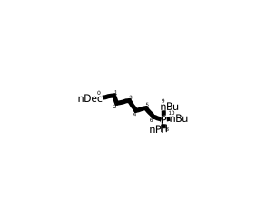 CCCCCCCCCCCCCCCC[PH](CCC)(CCCC)CCCC